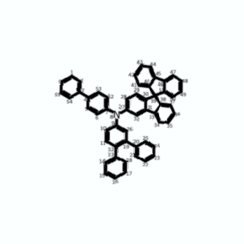 c1ccc(-c2ccc(N(c3ccc(-c4ccccc4)c(-c4ccccc4)c3)c3ccc4c(c3)-c3ccccc3C43c4ccccc4-c4ccccc43)cc2)cc1